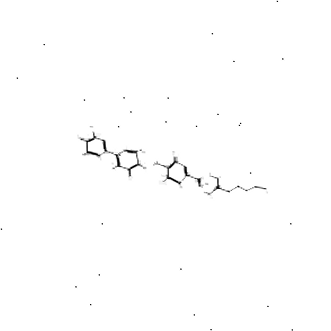 CCCCCC12COC(c3cc(F)c(COc4c(F)cc(-c5cc(F)c(F)c(F)c5)c(F)c4F)c(F)c3)(OC1)OC2